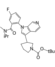 CC(C)N(C)C(=O)c1cc(F)ccc1-n1cc(C2CCCN(C(=O)OC(C)(C)C)C2)c2ccncc21